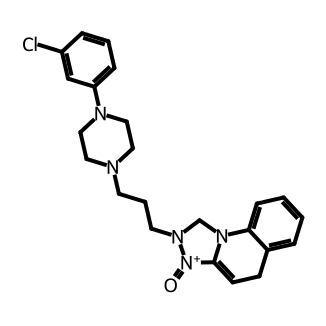 O=[N+]1C2=CCc3ccccc3N2CN1CCCN1CCN(c2cccc(Cl)c2)CC1